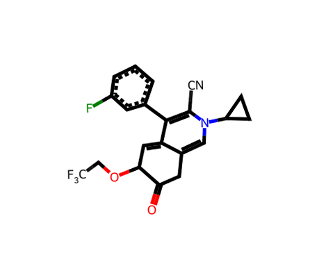 N#CC1=C(c2cccc(F)c2)C2=CC(OCC(F)(F)F)C(=O)CC2=CN1C1CC1